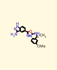 COc1cccc([C@@H](C)Nc2nnc(-c3ccc4[nH]nc(N)c4c3)o2)c1